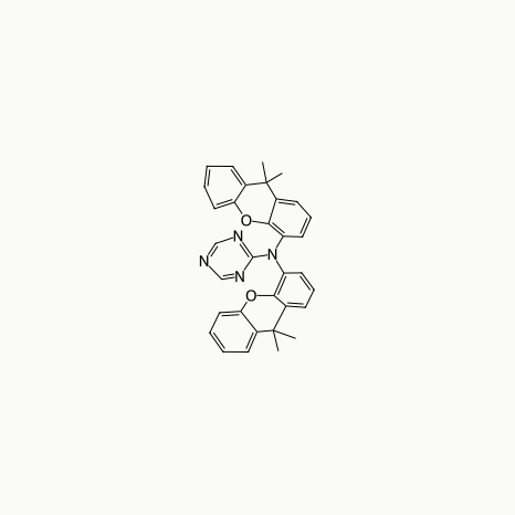 CC1(C)c2ccccc2Oc2c(N(c3ncncn3)c3cccc4c3Oc3ccccc3C4(C)C)cccc21